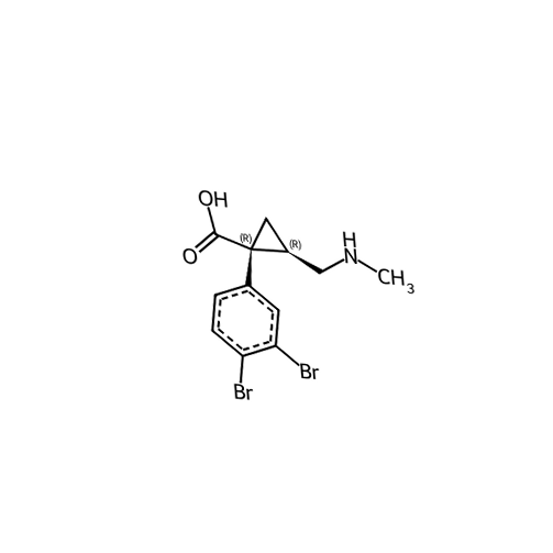 CNC[C@@H]1C[C@]1(C(=O)O)c1ccc(Br)c(Br)c1